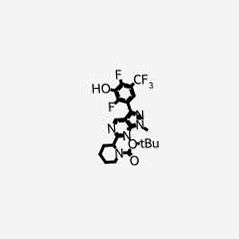 Cn1nc(-c2cc(C(F)(F)F)c(F)c(O)c2F)c2cnc(C3CCCCN3C(=O)OC(C)(C)C)nc21